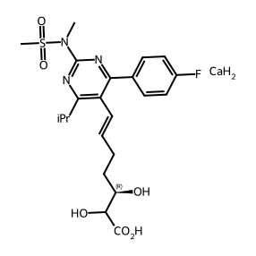 CC(C)c1nc(N(C)S(C)(=O)=O)nc(-c2ccc(F)cc2)c1C=CCC[C@@H](O)C(O)C(=O)O.[CaH2]